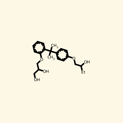 CCC(O)COc1ccc(C(C)(C)c2ccccc2OCC(O)CO)cc1